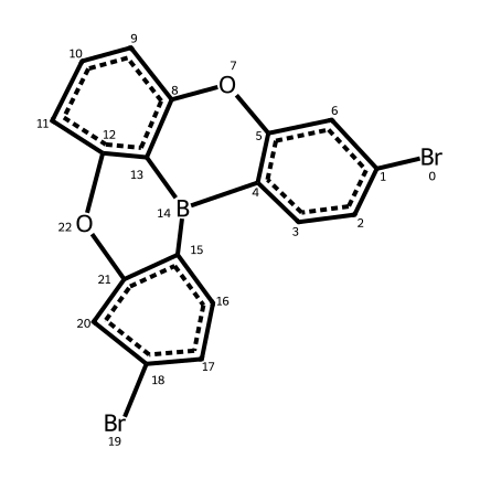 Brc1ccc2c(c1)Oc1cccc3c1B2c1ccc(Br)cc1O3